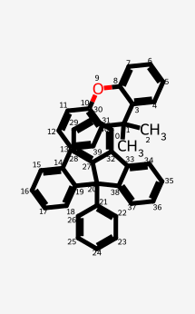 CC1(C)c2ccccc2Oc2ccc(-c3ccccc3C3(c4ccccc4)c4ccccc4-c4ccccc43)cc21